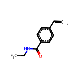 C=Cc1ccc(C(=O)NCC(F)(F)F)cc1